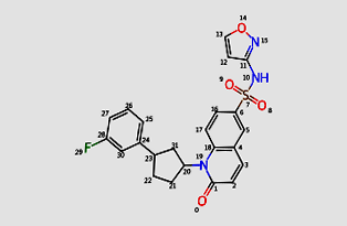 O=c1ccc2cc(S(=O)(=O)Nc3ccon3)ccc2n1C1CCC(c2cccc(F)c2)C1